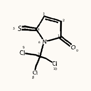 O=C1C=CC(=S)N1C(Cl)(Cl)Cl